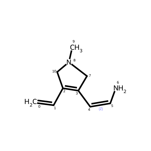 C=CC1=C(/C=C\N)CN(C)C1